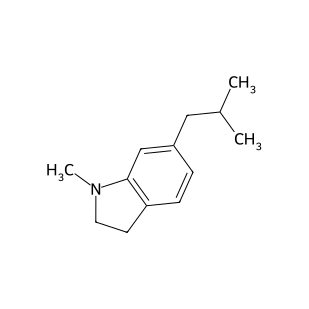 CC(C)Cc1ccc2c(c1)N(C)CC2